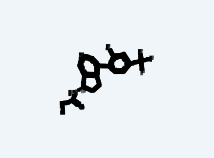 CCC(=O)N[C@H]1CCc2c(-c3ccc(C(F)(F)F)cc3F)cncc21